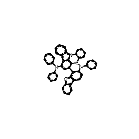 c1ccc(N2B3c4ccccc4-n4c5ccccc5c5c(N(c6ccccc6)c6ccccc6)cc(c3c54)-c3c2ccc2c3oc3ccccc32)cc1